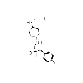 CC(O)(CNC1CCC(NC(=O)O)CC1)Cc1ccc(F)cc1